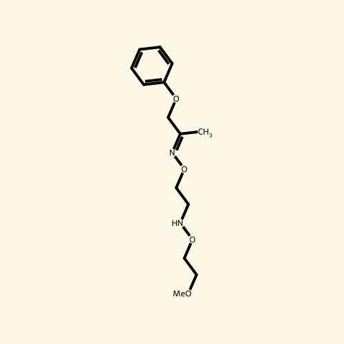 COCCONCCO/N=C(\C)COc1ccccc1